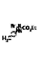 CCOC(=O)c1nc(Br)n(-c2ccc(C)cc2)n1